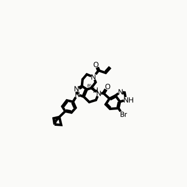 C=CC(=O)N1CCc2nn(-c3ccc(C45CC(C4)C5)cc3)c3c2[C@H](C1)N(C(=O)c1ccc(Br)c2[nH]cnc12)CC3